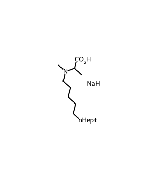 CCCCCCCCCCCCN(C)C(C)C(=O)O.[NaH]